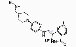 CCNCC1CCN(c2ccc(N/C=C3\C(=O)NC(=O)c4ccc(I)cc43)cc2)CC1